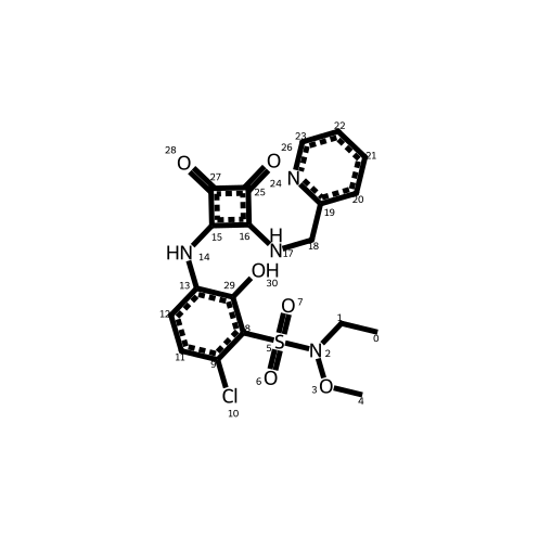 CCN(OC)S(=O)(=O)c1c(Cl)ccc(Nc2c(NCc3ccccn3)c(=O)c2=O)c1O